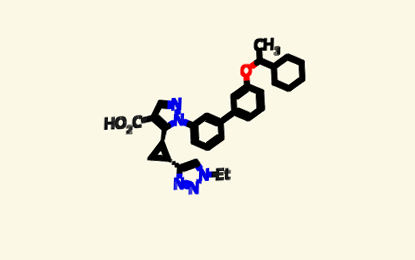 CCn1cc([C@@H]2C[C@H]2c2c(C(=O)O)cnn2-c2cccc(-c3cccc(OC(C)C4CCCCC4)c3)c2)nn1